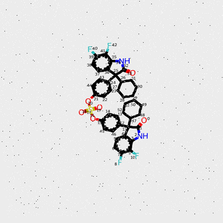 O=C1Nc2c(ccc(F)c2F)C1(c1ccc(OS(=O)(=O)Oc2ccc(C3(C4CCCCC4)C(=O)Nc4c3ccc(F)c4F)cc2)cc1)C1CCCCC1